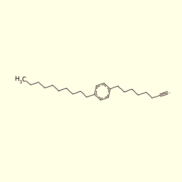 [C]#CCCCCCCc1ccc(CCCCCCCCCC)cc1